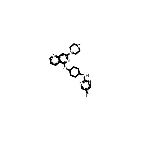 Fc1cnc(NC2CCC(Oc3nc(N4CCOCC4)cc4ncccc34)CC2)nc1